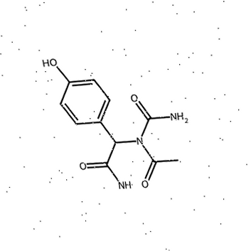 CC(=O)N(C(N)=O)C(C([NH])=O)c1ccc(O)cc1